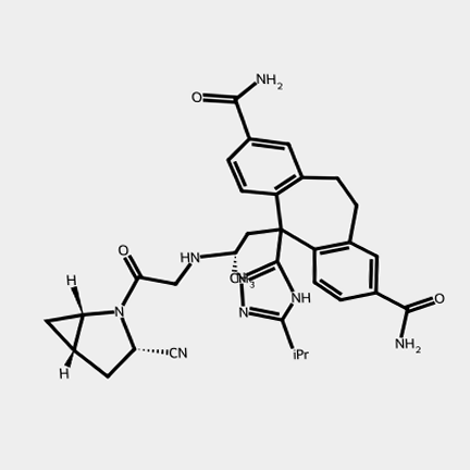 CC(C)c1nnc(C2(C[C@H](C)NCC(=O)N3[C@H](C#N)C[C@@H]4C[C@@H]43)c3ccc(C(N)=O)cc3CCc3cc(C(N)=O)ccc32)[nH]1